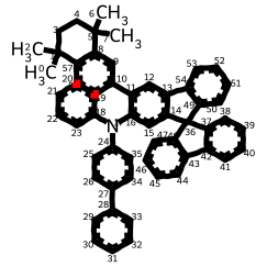 CC1(C)CCC(C)(C)c2cc(-c3cc4c(cc3N(c3ccccc3)c3ccc(-c5ccccc5)cc3)C3(c5ccccc5-c5ccccc53)c3ccccc3-4)ccc21